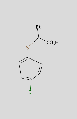 CCC(Sc1ccc(Cl)cc1)C(=O)O